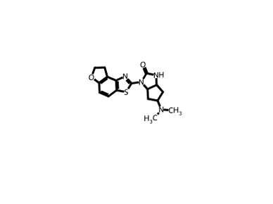 CN(C)C1CC2NC(=O)N(c3nc4c5c(ccc4s3)OCC5)C2C1